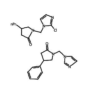 CCCC1CC(=O)N(Cn2ccnc2Cl)C1.O=C1CC(c2ccccc2)CN1Cn1ccnc1